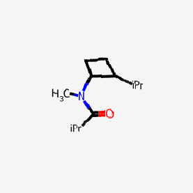 CC(C)C(=O)N(C)C1CCC1C(C)C